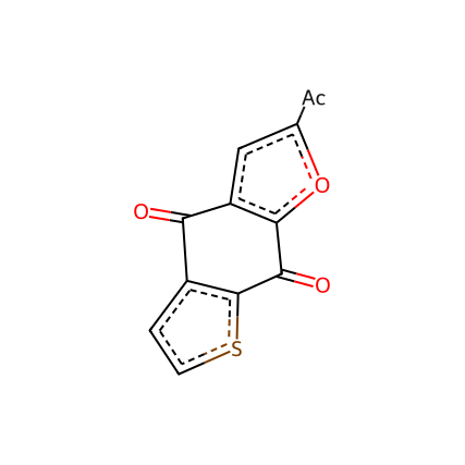 CC(=O)c1cc2c(o1)C(=O)c1sccc1C2=O